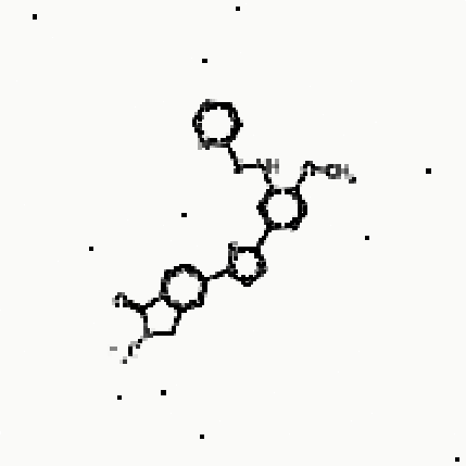 COc1ccc(-c2ccc(-c3ccc4c(c3)CN(C)C4=O)s2)cc1NSc1ccccn1